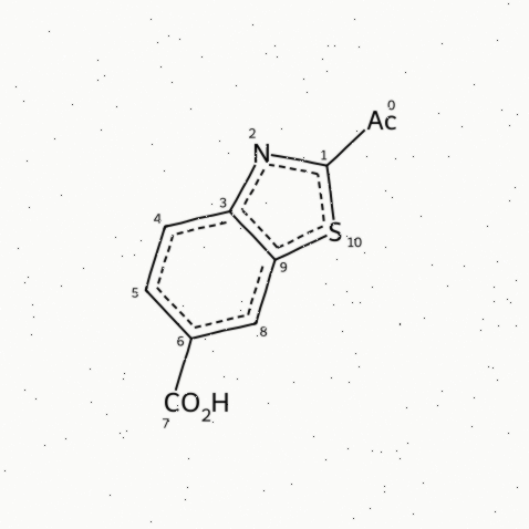 CC(=O)c1nc2ccc(C(=O)O)cc2s1